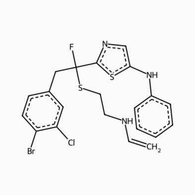 C=CNCCSC(F)(Cc1ccc(Br)c(Cl)c1)c1ncc(Nc2ccccc2)s1